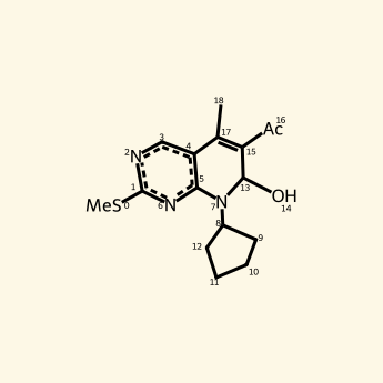 CSc1ncc2c(n1)N(C1CCCC1)C(O)C(C(C)=O)=C2C